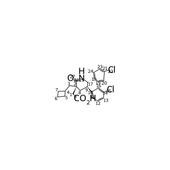 O=C(O)C[C@]1(CC2CCC2)C[C@H](c2cccc(Cl)c2)[C@@H](c2ccc(Cl)cc2)NC1=O